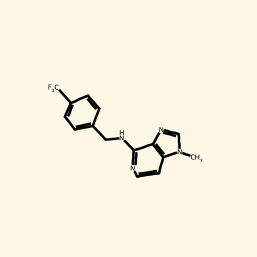 Cn1cnc2c(NCc3ccc(C(F)(F)F)cc3)nccc21